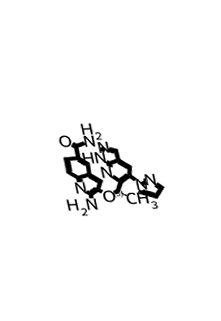 C[C@H](Oc1cc2cc(C(N)=O)ccc2nc1N)c1nc2[nH]ncc2cc1-n1cccn1